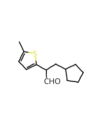 Cc1ccc(C(C=O)CC2CCCC2)s1